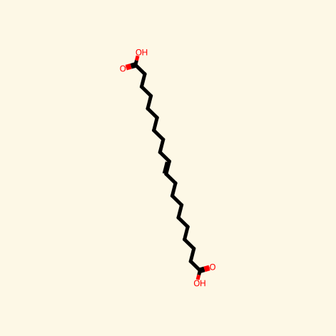 O=C(O)CCCCCCCC/C=C/CCCCCCCCC(=O)O